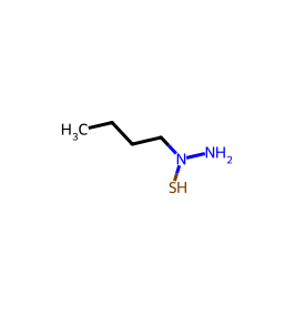 CCCCN(N)S